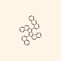 c1ccc2cc3c(C4=C5C(=C(c6cccc7ccccc67)c6ccc7ccccc7c65)c5c4ccc4ccccc54)cccc3cc2c1